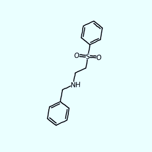 O=S(=O)(CCNCc1ccccc1)c1ccccc1